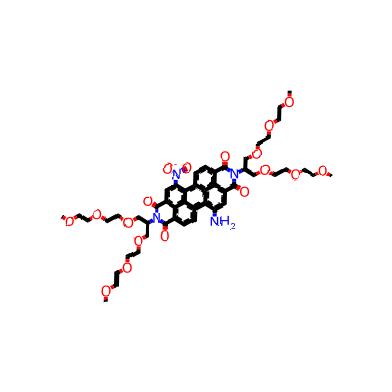 COCCOCCOCC(COCCOCCOC)N1C(=O)c2ccc3c4c([N+](=O)[O-])cc5c6c(ccc(c7c(N)cc(c2c37)C1=O)c64)C(=O)N(C(COCCOCCOC)COCCOCCOC)C5=O